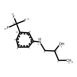 CCC(O)CNc1cccc(C(F)(F)F)c1